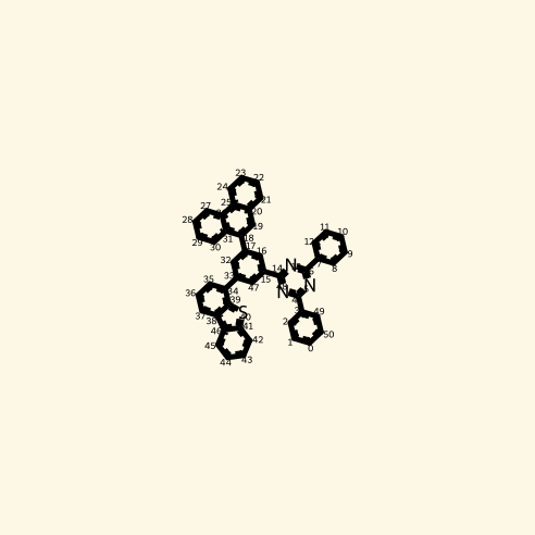 c1ccc(-c2nc(-c3ccccc3)nc(-c3cc(-c4cc5ccccc5c5ccccc45)cc(-c4cccc5c4sc4ccccc45)c3)n2)cc1